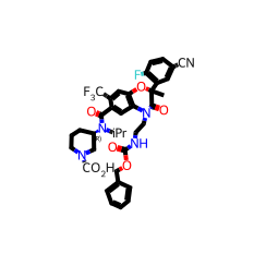 CC(C)N(C(=O)c1cc2c(cc1C(F)(F)F)OC(C)(c1cc(C#N)ccc1F)C(=O)N2CCNC(=O)OCc1ccccc1)[C@@H]1CCCN(C(=O)O)C1